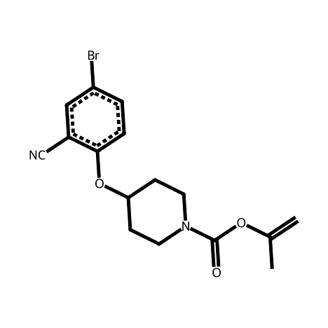 C=C(C)OC(=O)N1CCC(Oc2ccc(Br)cc2C#N)CC1